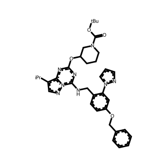 CC(C)c1cnn2c(NCc3ccc(OCc4ccccc4)cc3-n3cccn3)nc(OC3CCCN(C(=O)OC(C)(C)C)C3)nc12